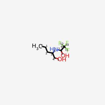 CCCC(CO)NC(O)C(F)(F)F